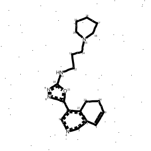 C1=Cc2cncc(-c3nnc(NCCCN4CCCCC4)o3)c2CC1